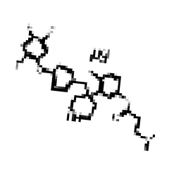 Cc1ccc(NC(=O)CCN(C)C)cc1C1(Cc2ccc(Oc3cc(F)c(F)cc3F)cc2)CCNCC1.Cl.Cl